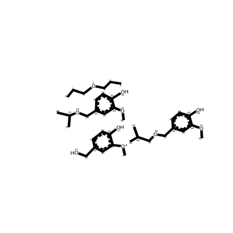 CCCOCCC.COc1cc(CO)ccc1O.COc1cc(COC(C)C)ccc1O.COc1cc(COCC(C)C)ccc1O